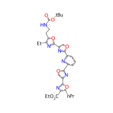 CCCc1oc(-c2coc(-c3cccc(-c4nc(-c5nc(CC)c(CCNC(=O)OC(C)(C)C)o5)co4)n3)n2)nc1C(=O)OCC